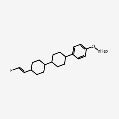 CCCCCCOc1ccc(C2CCC(C3CCC(/C=C/F)CC3)CC2)cc1